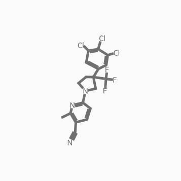 Cc1nc(N2CCC(c3cc(Cl)c(Cl)c(Cl)c3)(C(F)(F)F)C2)ccc1C#N